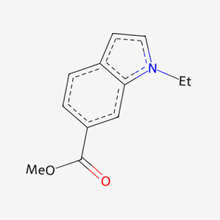 CCn1ccc2ccc(C(=O)OC)cc21